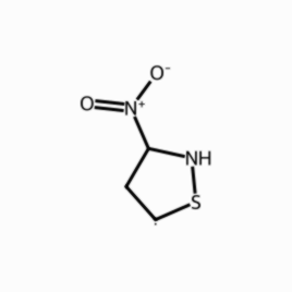 O=[N+]([O-])C1C[CH]SN1